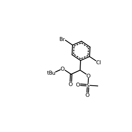 CC(C)(C)OC(=O)C(OS(C)(=O)=O)c1cc(Br)ccc1Cl